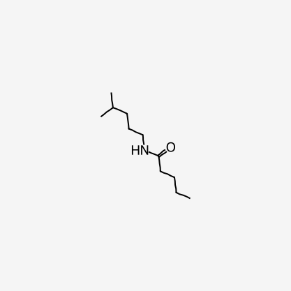 CCCCC(=O)NCCCC(C)C